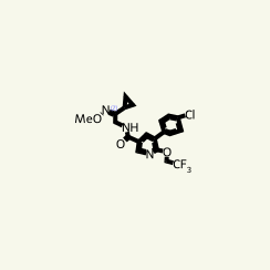 CO/N=C(\CNC(=O)c1cnc(OCC(F)(F)F)c(-c2ccc(Cl)cc2)c1)C1CC1